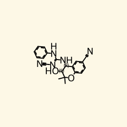 CC1(C)Oc2ccc(C#N)cc2[C@@H](NC(=NC#N)Nc2ccccc2)[C@@H]1O